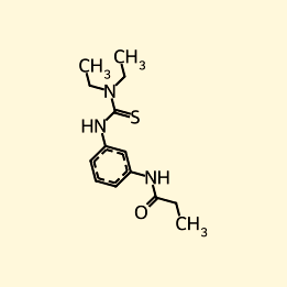 CCC(=O)Nc1cccc(NC(=S)N(CC)CC)c1